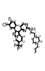 CCCN1CCN(CCNc2nccc(-c3c(-c4ccc(F)c(Cl)c4)nn4cc(C(F)(F)F)ccc34)n2)CC1